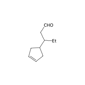 CCC(CC=O)C1CC=CC1